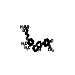 COc1cc(N2CCN3[C@@H](CCC[C@@H]3c3ccc(OCCCS(C)(=O)=O)c(C)c3C)C2)ccc1Cl